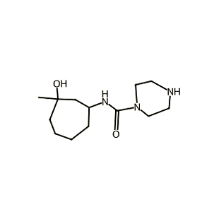 CC1(O)CCCCC(NC(=O)N2CCNCC2)C1